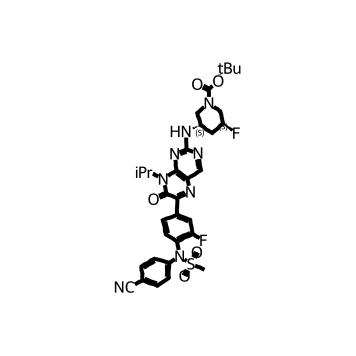 CC(C)n1c(=O)c(-c2ccc(N(c3ccc(C#N)cc3)S(C)(=O)=O)c(F)c2)nc2cnc(N[C@H]3C[C@H](F)CN(C(=O)OC(C)(C)C)C3)nc21